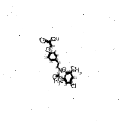 CC(=O)N(CCc1ccc(OCC(=O)O)cc1)Oc1c(C)cc(Cl)cc1C